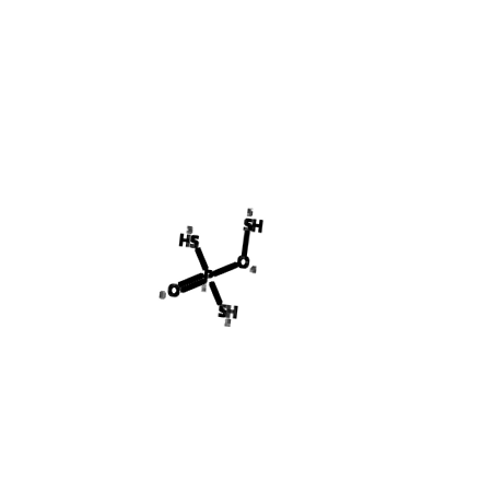 O=P(S)(S)OS